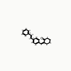 O=C1CCCCC1=Cc1ccc(C=Cc2ccccc2)cc1